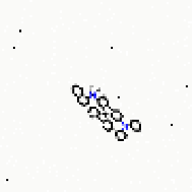 CN(c1ccc2c(c1)C1(c3ccccc3-c3ccccc31)c1cc(N(c3ccccc3)c3ccccc3)ccc1-2)c1cccc2ccccc12